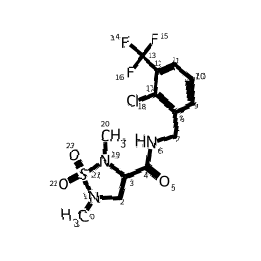 CN1CC(C(=O)NCc2cccc(C(F)(F)F)c2Cl)N(C)S1(=O)=O